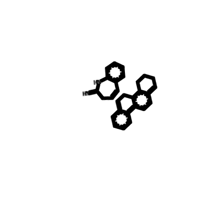 C1=c2ccc3c(c2CCC1)CC=c1ccccc1=3.N=C1CC=Cc2ccccc2N1